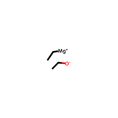 CC[O-].C[CH2][Mg+]